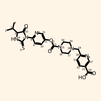 CC(C)C1NC(=S)N(c2ccc(OC(=O)N3CCN(Cc4ccc(C(=O)O)cn4)CC3)cn2)C1=O